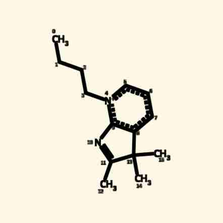 CCCC[n+]1cccc2c1N=C(C)C2(C)C